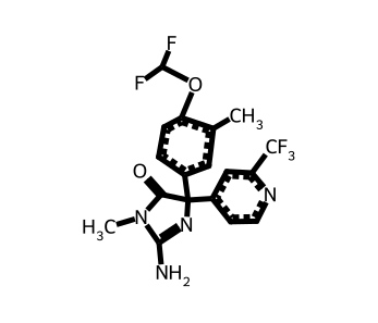 Cc1cc(C2(c3ccnc(C(F)(F)F)c3)N=C(N)N(C)C2=O)ccc1OC(F)F